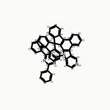 c1ccc(-c2nc(-c3ccccc3)nc(-n3c4ccncc4c4c5ccccc5c5c(c43)C3(c4ccccc4-c4ccccc43)c3ccccc3-5)n2)cc1